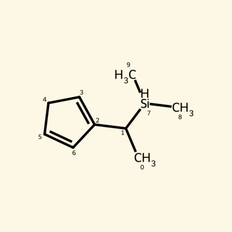 CC(C1=CCC=C1)[SiH](C)C